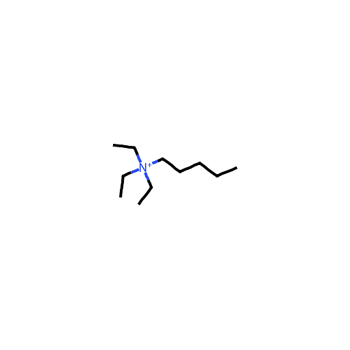 CCCCC[N+](CC)(CC)CC